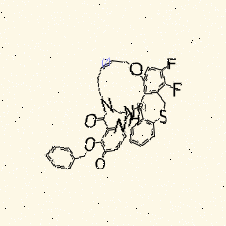 O=C1c2c(OCc3ccccc3)c(=O)ccn2N2CN1CC/C=C\COc1cc(F)c(F)c3c1[C@@H]2c1ccccc1SC3